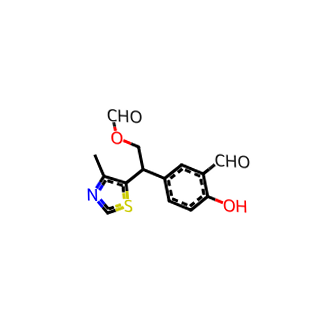 Cc1ncsc1C(COC=O)c1ccc(O)c(C=O)c1